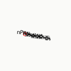 C=CC1CCC(/C=C/C2CCC(C3CCC(C4CCC(/C=C/C5CCC(OCCC)CC5)CC4)CC3)CC2)CC1